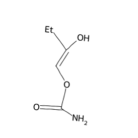 CCC(O)=COC(N)=O